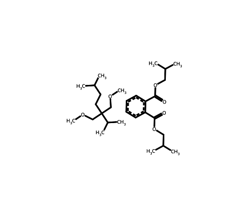 CC(C)COC(=O)c1ccccc1C(=O)OCC(C)C.COCC(CCC(C)C)(COC)C(C)C